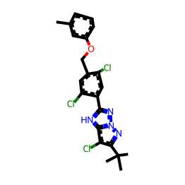 Cc1cccc(OCc2cc(Cl)c(-c3nn4nc(C(C)(C)C)c(Cl)c4[nH]3)cc2Cl)c1